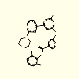 Cc1nc(Nc2ncc(C(=O)Nc3c(C)cccc3Cl)s2)cc(-c2ccnc(N3CCOCC3)c2)n1